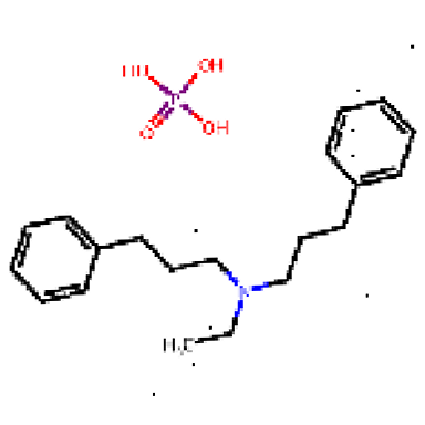 CCN(CCCc1ccccc1)CCCc1ccccc1.O=P(O)(O)O